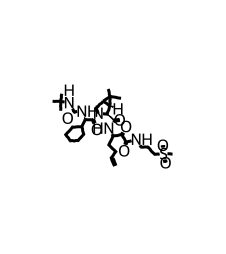 C=CCCC(NC(=O)[C@@H]1[C@@H]2C(CN1C(=O)[C@@H](NC(=O)NC(C)(C)C)C1CCCCC1)C2(C)C)C(=O)C(=O)NCCCS(C)(=O)=O